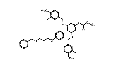 COc1ccc(CO[C@H]2CN(OC(=O)OC(C)(C)C)C[C@@H](OCc3ccc(OC)c(C)c3)[C@H]2c2ccc(OCCCOCc3ccccc3)cc2)cc1C